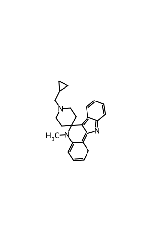 CN1C2=CC=CCC2=C2N=c3ccccc3=C2C12CCN(CC1CC1)CC2